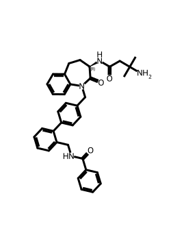 CC(C)(N)CC(=O)N[C@@H]1CCc2ccccc2N(Cc2ccc(-c3ccccc3CNC(=O)c3ccccc3)cc2)C1=O